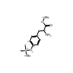 CCCCOC(=O)C(N)Cc1ccc(O[Si](C)(C)C(C)(C)C)cc1